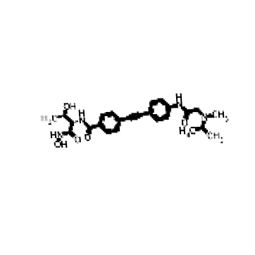 CC(C)N(C)CC(=O)Nc1ccc(C#Cc2ccc(C(=O)N[C@H](C(=O)NO)[C@@H](C)O)cc2)cc1